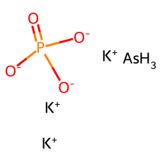 O=P([O-])([O-])[O-].[AsH3].[K+].[K+].[K+]